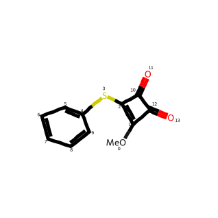 COc1c(Sc2ccccc2)c(=O)c1=O